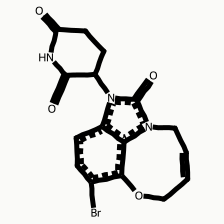 O=C1CCC(n2c(=O)n3c4c(c(Br)ccc42)OC/C=C\C3)C(=O)N1